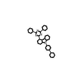 c1ccc(-c2ccc(-n3c4ccccc4c4c(-c5nc(-c6ccccc6)nc(-c6ccccc6)n5)cccc43)cc2)cc1